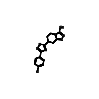 CC(C)(C)c1nnc2n1CCC(c1nc(-c3ccc(Cl)cc3)no1)C2